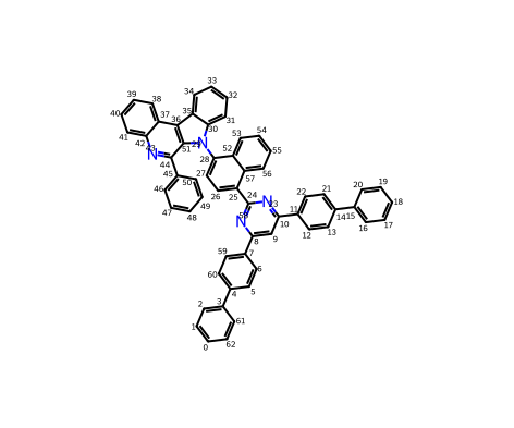 c1ccc(-c2ccc(-c3cc(-c4ccc(-c5ccccc5)cc4)nc(-c4ccc(-n5c6ccccc6c6c7ccccc7nc(-c7ccccc7)c65)c5ccccc45)n3)cc2)cc1